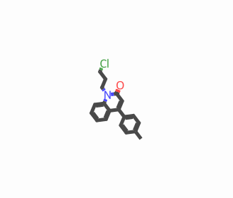 Cc1ccc(-c2cc(=O)n(CCCCl)c3ccccc23)cc1